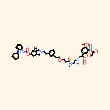 CN(CCNC[C@H](O)c1ccc(O)c2c1OCC(=O)N2)C(=O)CCOCCc1cccc(CCN2CC3CC(OC(=O)Nc4ccccc4-c4ccccc4)C[C@@H]3C2)c1